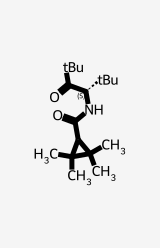 CC(C)(C)C(=O)[C@@H](NC(=O)C1C(C)(C)C1(C)C)C(C)(C)C